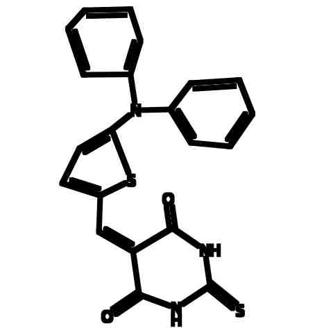 O=C1NC(=S)NC(=O)C1=Cc1ccc(N(c2ccccc2)c2ccccc2)s1